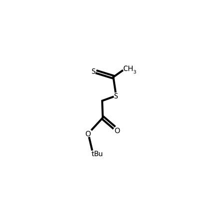 CC(=S)SCC(=O)OC(C)(C)C